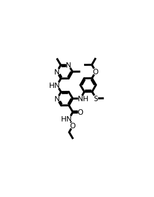 CCONC(=O)c1cnc(Nc2cc(C)nc(C)n2)cc1Nc1ccc(OC(C)C)cc1SC